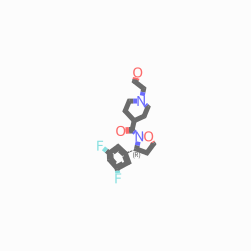 O=CCN1CCC(C(=O)N2OCC[C@@H]2c2cc(F)cc(F)c2)CC1